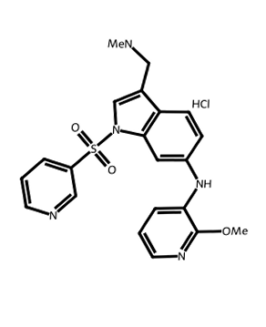 CNCc1cn(S(=O)(=O)c2cccnc2)c2cc(Nc3cccnc3OC)ccc12.Cl